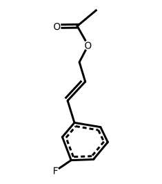 CC(=O)OCC=Cc1cccc(F)c1